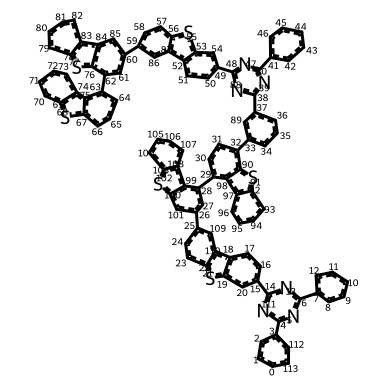 c1ccc(-c2nc(-c3ccccc3)nc(-c3ccc4c(c3)sc3ccc(-c5cc(-c6ccc(-c7cccc(-c8nc(-c9ccccc9)nc(-c9ccc%10c(c9)sc9ccc(-c%11cc(-c%12cccc%13sc%14ccccc%14c%12%13)c%12sc%13ccccc%13c%12c%11)cc9%10)n8)c7)c7sc8ccccc8c67)c6c(c5)sc5ccccc56)cc34)n2)cc1